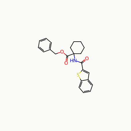 O=C(NC1(C(=O)OCc2ccccc2)CCCCC1)c1cc2ccccc2s1